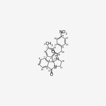 Cc1ccc(C23c4ccccc4C(=O)N2CCN3C(=O)Cc2ccc([N+](=O)[O-])cc2)cc1